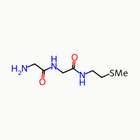 CSCCNC(=O)CNC(=O)CN